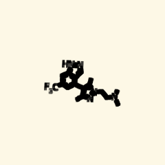 Cc1nn(CCN(C)C)c(C)c1-c1cc(C(F)(F)F)cc2[nH]ncc12